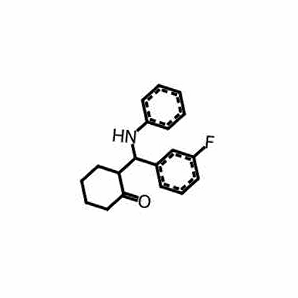 O=C1CCCCC1C(Nc1ccccc1)c1cccc(F)c1